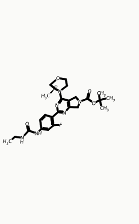 CCNC(=O)Nc1ccc(-c2nc3c(c(N4CCOC[C@@H]4C)n2)CN(C(=O)OC(C)(C)C)C3)c(F)c1